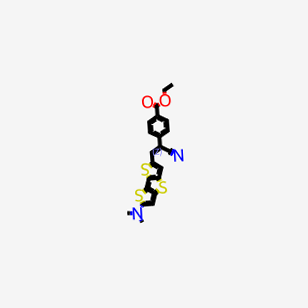 CCOC(=O)c1ccc(/C(C#N)=C/c2cc3sc4cc(N(C)C)sc4c3s2)cc1